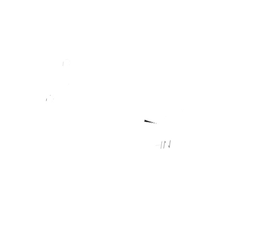 COC(=O)CCc1ccc([C@H]2CCCN2)cc1